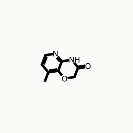 Cc1ccnc2c1OCC(=O)N2